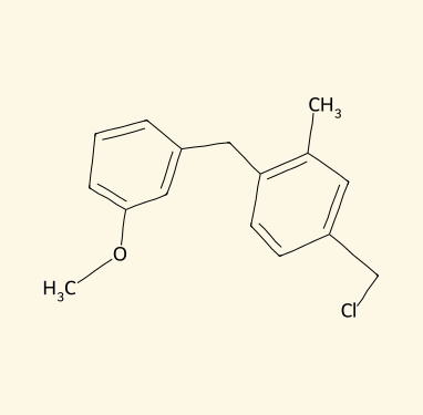 COc1cccc(Cc2ccc(CCl)cc2C)c1